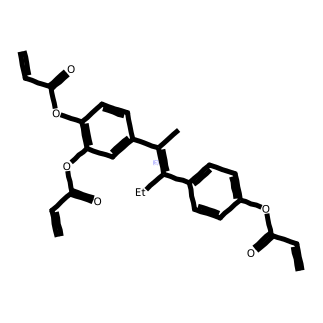 C=CC(=O)Oc1ccc(/C(CC)=C(\C)c2ccc(OC(=O)C=C)c(OC(=O)C=C)c2)cc1